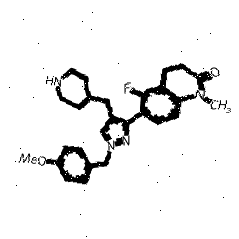 COc1ccc(Cn2cc(CC3CCNCC3)c(-c3ccc4c(c3F)CCC(=O)N4C)n2)cc1